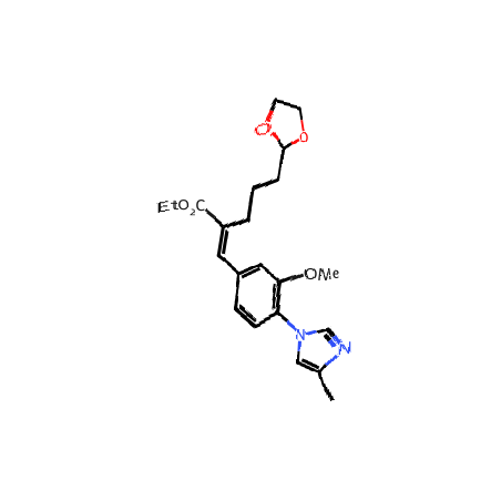 CCOC(=O)C(=Cc1ccc(-n2cnc(C)c2)c(OC)c1)CCCC1OCCO1